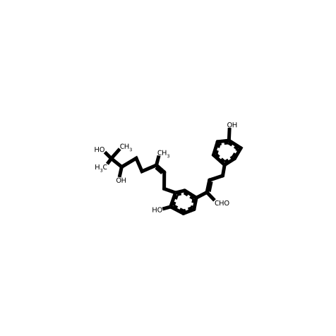 CC(=CCc1cc(C(C=O)=CCc2ccc(O)cc2)ccc1O)CCC(O)C(C)(C)O